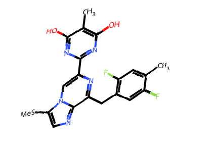 CSc1cnc2c(Cc3cc(F)c(C)cc3F)nc(-c3nc(O)c(C)c(O)n3)cn12